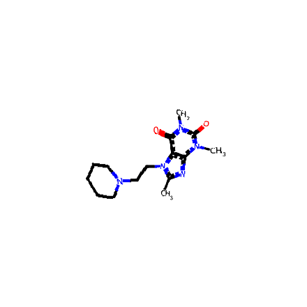 Cc1nc2c(c(=O)n(C)c(=O)n2C)n1CCN1CCCCC1